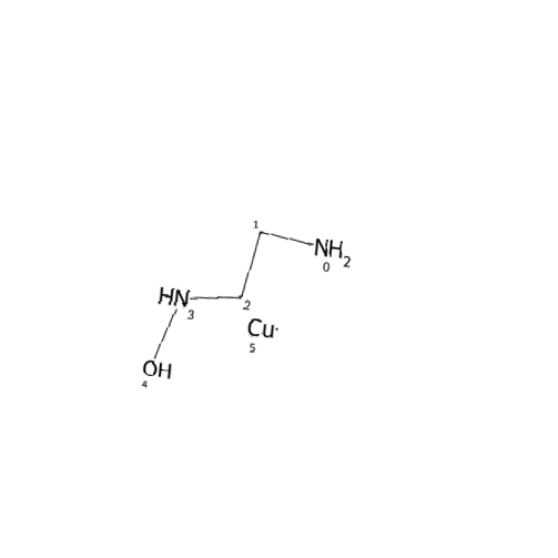 NCCNO.[Cu]